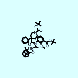 COc1c(C(=O)OC(C)(C)C)cccc1N(C(=O)C1(c2ccccc2)CCN(C(=O)OC(C)(C)C)CC1)C(C)B1OC2CC3CC(C3(C)C)C2(C)O1